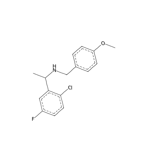 COc1ccc(CNC(C)c2cc(F)ccc2Cl)cc1